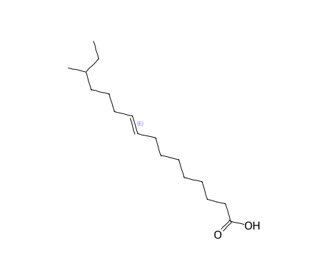 CCC(C)CCC/C=C/CCCCCCCC(=O)O